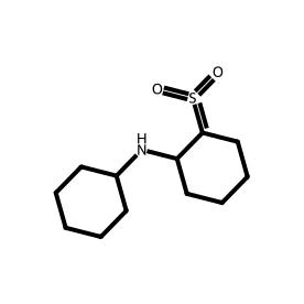 O=S(=O)=C1CCCCC1NC1CCCCC1